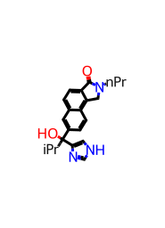 CCCN1Cc2c(ccc3cc(C(O)(c4c[nH]cn4)C(C)C)ccc23)C1=O